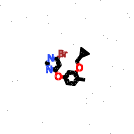 Cc1ccc(Oc2cc(Br)ncn2)cc1OCC1CC1